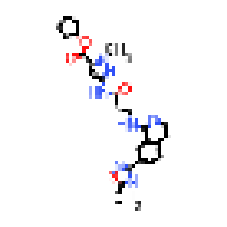 Cc1nc(-c2ccc3ccnc(NCCC(=O)Nc4cc(C(=O)OC5CCCC5)n(C)n4)c3c2)no1